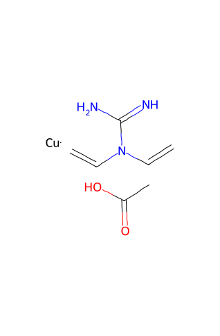 C=CN(C=C)C(=N)N.CC(=O)O.[Cu]